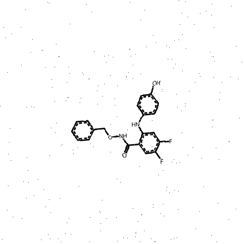 O=C(NOCc1ccccc1)c1cc(F)c(F)cc1Nc1ccc(O)cc1